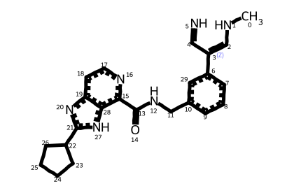 CN/C=C(\C=N)c1cccc(CNC(=O)c2nccc3nc(C4CCCC4)[nH]c23)c1